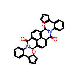 O=C1c2ccc3c4c(ccc(c24)C(=O)N1c1ccccc1C1=CC=CC1)C(=O)N(c1ccccc1C1=CC=CC1)C3=O